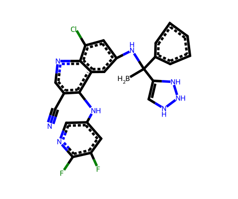 BC(Nc1cc(Cl)c2ncc(C#N)c(Nc3cnc(F)c(F)c3)c2c1)(C1=CNNN1)c1ccccc1